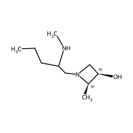 CCCC(CN1C[C@@H](O)[C@H]1C)NC